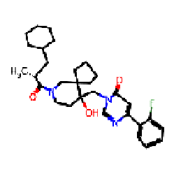 C[C@H](CC1CCCCC1)C(=O)N1CCC(O)(Cn2cnc(-c3ccccc3F)cc2=O)C2(CCCC2)C1